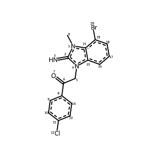 Cn1c(=N)n(CC(=O)c2ccc(Cl)cc2)c2cccc(Br)c21